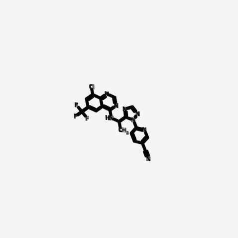 CC(Nc1ncnc2c(Cl)cc(C(F)(F)F)cc12)c1ncnn1-c1ccc(C#N)cn1